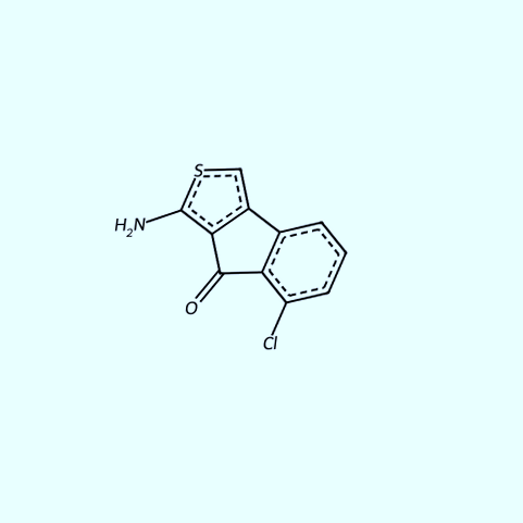 Nc1scc2c1C(=O)c1c(Cl)cccc1-2